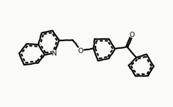 O=C(c1ccccc1)c1ccc(OCc2ccc3ccccc3n2)cc1